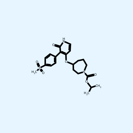 CC(C)OC(=O)N1CCCC(Oc2cc[nH]c(=O)c2-c2ccc(S(C)(=O)=O)cc2)CC1